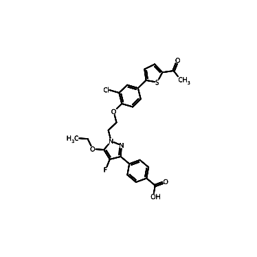 CCOc1c(F)c(-c2ccc(C(=O)O)cc2)nn1CCOc1ccc(-c2ccc(C(C)=O)s2)cc1Cl